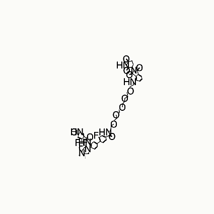 C[C@@H]1CN(c2ccc(-c3ccc(C(=O)NCCOCCOCCOCCOCCOCCNc4cccc5c4C(=O)N(C4CCC(=O)NC4=O)C5=O)cc3F)cc2NC(=O)c2c[nH]c(=O)cc2C(F)(F)F)C[C@H](C)N1C